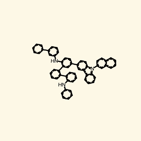 c1ccc(Nc2ccccc2-c2ccccc2-c2cc(-c3ccc4c(c3)c3ccccc3n4-c3ccc4ccccc4c3)ccc2Nc2cccc(-c3ccccc3)c2)cc1